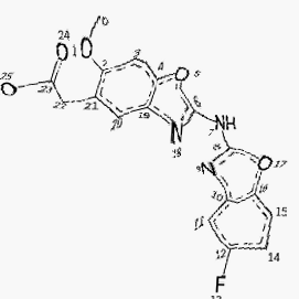 COc1cc2oc(Nc3nc4cc(F)ccc4o3)nc2cc1CC(=O)O